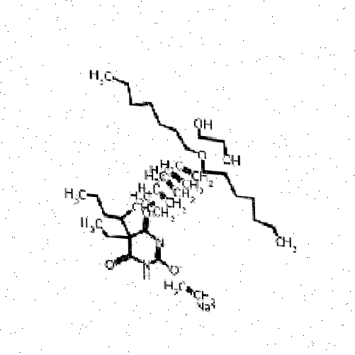 C=C.C=C.C=C.C=C.C=C.C=C.CCCC(C)C1(CC)C(=O)N=C([O-])NC1=O.CCCCCCCOCCCCCCC.OCCO.[Na+]